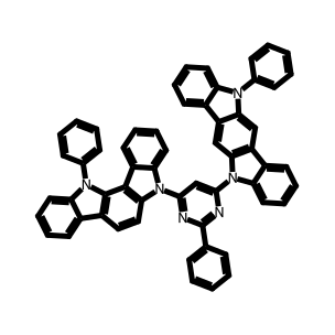 c1ccc(-c2nc(-n3c4ccccc4c4cc5c(cc43)c3ccccc3n5-c3ccccc3)cc(-n3c4ccccc4c4c3ccc3c5ccccc5n(-c5ccccc5)c34)n2)cc1